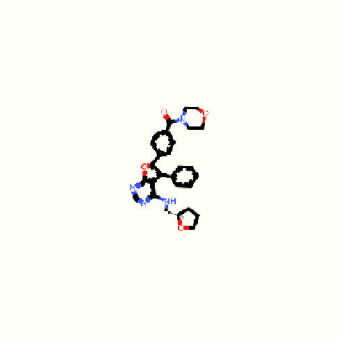 O=C(c1ccc(-c2oc3ncnc(NC[C@@H]4CCCO4)c3c2-c2ccccc2)cc1)N1CCOCC1